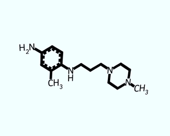 Cc1cc(N)ccc1NCCCN1CCN(C)CC1